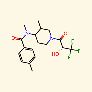 Cc1ccc(C(=O)N(C)C2CCN(C(=O)[C@@H](O)C(F)(F)F)CC2C)cc1